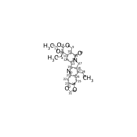 CCO[C@]1(CC)C(=O)OCc2c1cc1n(c2=O)Cc2c-1nc1cc3c(cc1c2CC)OCO3